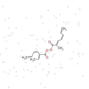 C=C/C=C\C=C(/C)C(=O)OOC(=O)C(/C=C\C=C)=C/C